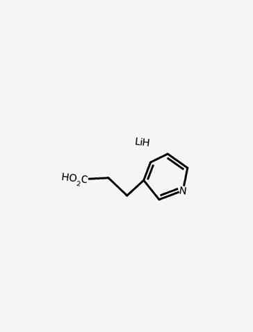 O=C(O)CCc1cccnc1.[LiH]